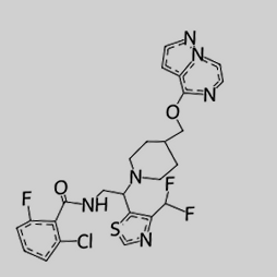 O=C(NCC(c1scnc1C(F)F)N1CCC(COc2nccn3nccc23)CC1)c1c(F)cccc1Cl